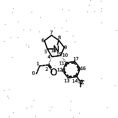 CCC(=O)[C@@H]1C2CCC(C[C@@H]1c1ccc(F)cc1)N2C